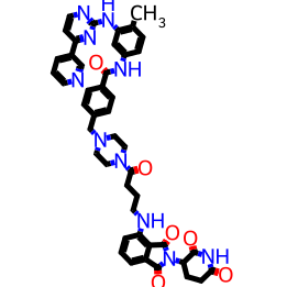 Cc1ccc(NC(=O)c2ccc(CN3CCN(C(=O)CCCNc4cccc5c4C(=O)N(C4CCC(=O)NC4=O)C5=O)CC3)cc2)cc1Nc1nccc(-c2cccnc2)n1